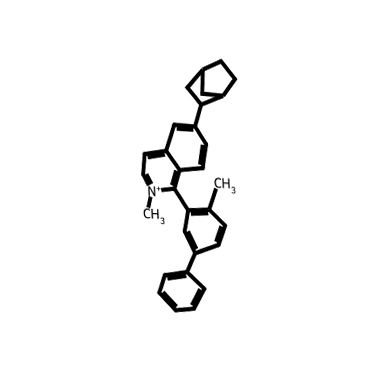 Cc1ccc(-c2ccccc2)cc1-c1c2ccc(C3CC4CCC3C4)cc2cc[n+]1C